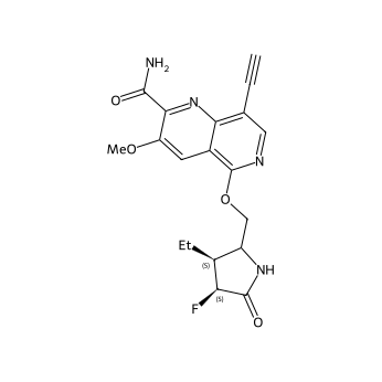 C#Cc1cnc(OCC2NC(=O)[C@@H](F)[C@H]2CC)c2cc(OC)c(C(N)=O)nc12